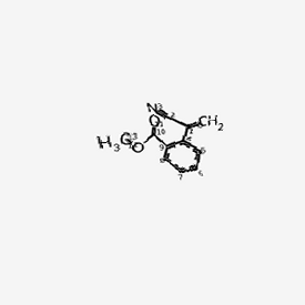 C=C(C#N)c1ccccc1C(=O)OC